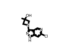 CC1(O)CN(c2n[nH]c3cc(Cl)ncc23)C1